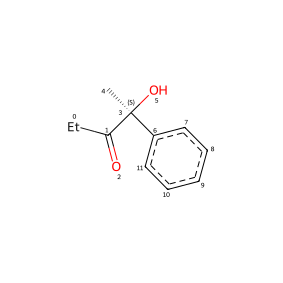 CCC(=O)[C@@](C)(O)c1ccccc1